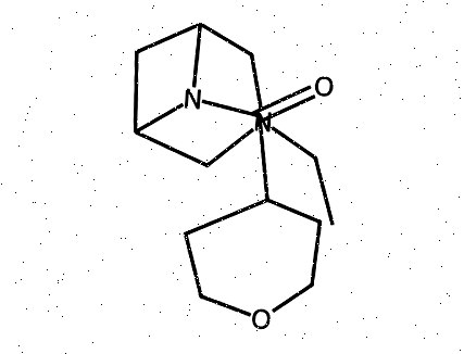 CCN1CC2CC(C1)N2C(=O)C1CCOCC1